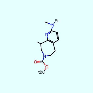 CCN(C)c1ccc2c(n1)C(C)CN(C(=O)OC(C)(C)C)CC2